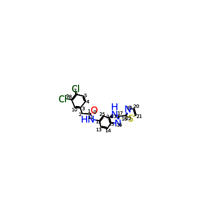 O=C(Cc1ccc(Cl)c(Cl)c1)Nc1ccc2nc(-c3nccs3)[nH]c2c1